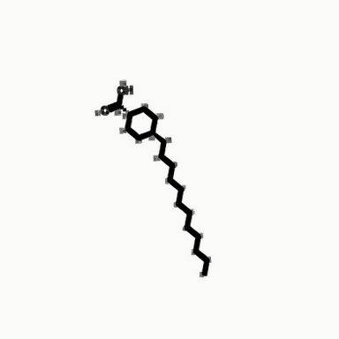 CCCCCCCCCCCC[C@H]1CC[C@H](C(=O)O)CC1